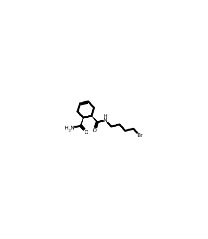 NC(=O)[C@H]1CC=CC[C@H]1C(=O)NCCCCBr